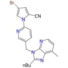 CCCCc1nc2c(C)ccnc2n1Cc1ccc(-n2cc(Br)cc2C#N)nc1